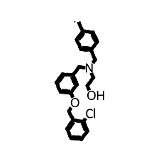 [CH2]c1ccc(CN(CCO)Cc2cccc(OCc3ccccc3Cl)c2)cc1